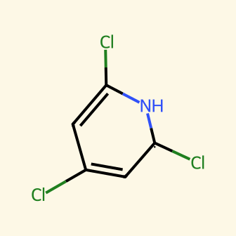 Cl[C]1C=C(Cl)C=C(Cl)N1